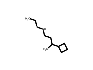 CCONCCC(N)C1CCC1